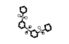 O=S(=O)(c1ccccc1)c1cccc(S(=O)(=O)c2cccc(S(=O)(=O)c3ccccc3)c2)c1